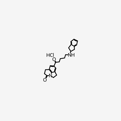 Cl.O=C(CCCCNC1Cc2ccccc2C1)c1cc2c3c(c1)CCN3C(=O)CC2